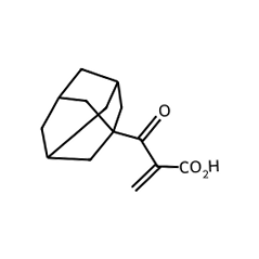 C=C(C(=O)O)C(=O)C12CC3CC(CC(C3)C1)C2